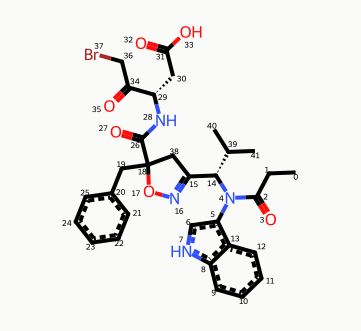 CCC(=O)N(c1c[nH]c2ccccc12)[C@H](C1=NOC(Cc2ccccc2)(C(=O)N[C@@H](CC(=O)O)C(=O)CBr)C1)C(C)C